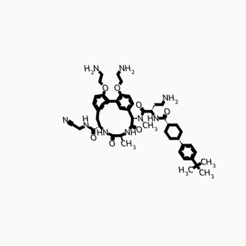 C[C@@H]1NC(=O)[C@@H](N(C)C(=O)[C@H](CCN)NC(=O)[C@H]2CC[C@@H](c3ccc(C(C)(C)C)cc3)CC2)c2ccc(OCCN)c(c2)-c2cc(ccc2OCCN)C[C@@H](C(=O)NCC#N)NC1=O